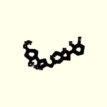 CCCOc1ccc(-c2cc(Cn3cc4nc(-c5cccc(F)c5F)nc-4cn3)no2)c(C(F)(F)F)c1